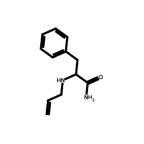 C=CCNC(Cc1ccccc1)C(N)=O